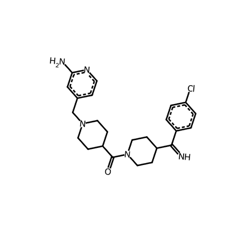 N=C(c1ccc(Cl)cc1)C1CCN(C(=O)C2CCN(Cc3ccnc(N)c3)CC2)CC1